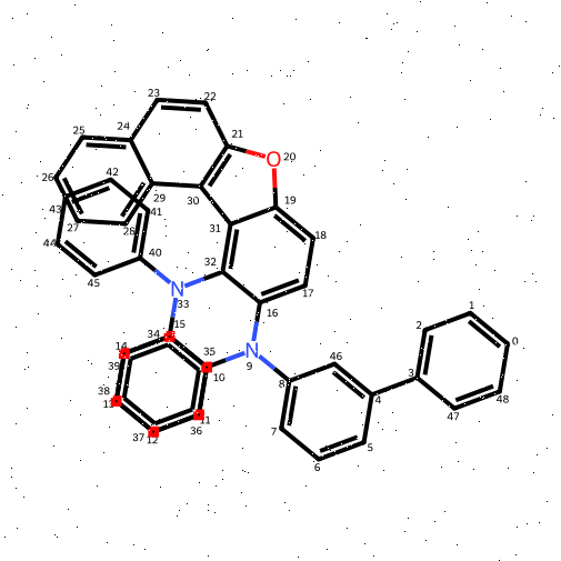 c1ccc(-c2cccc(N(c3ccccc3)c3ccc4oc5ccc6ccccc6c5c4c3N(c3ccccc3)c3ccccc3)c2)cc1